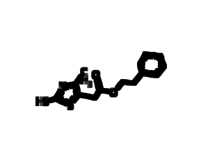 Cc1nc(S)sc1CC(=O)OCCc1ccccc1